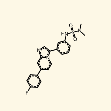 CN(C)S(=O)(=O)Nc1cccc(-c2cnc3cc(-c4ccc(F)cc4)ccn23)c1